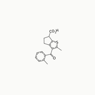 Cc1ccccc1C(=O)c1c(C)sc2c1CCC2C(=O)O